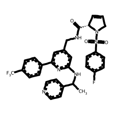 CC(Nc1cc(CNC(=O)[C@@H]2C=CCN2S(=O)(=O)c2ccc(F)cc2)cc(-c2ccc(C(F)(F)F)cc2)n1)c1ccncc1